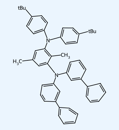 Cc1cc(N(c2ccc(C(C)(C)C)cc2)c2ccc(C(C)(C)C)cc2)c(C)c(N(c2cccc(-c3ccccc3)c2)c2cccc(-c3ccccc3)c2)c1